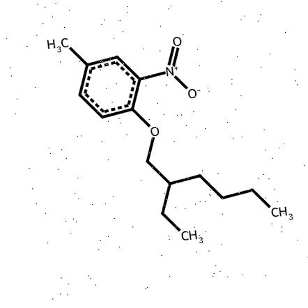 CCCCC(CC)COc1ccc(C)cc1[N+](=O)[O-]